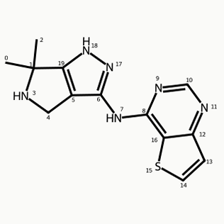 CC1(C)NCc2c(Nc3ncnc4ccsc34)n[nH]c21